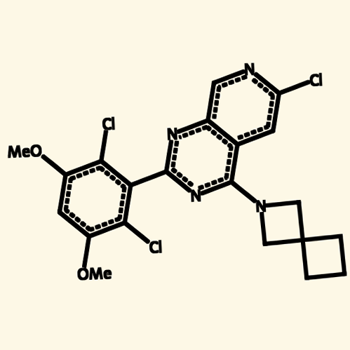 COc1cc(OC)c(Cl)c(-c2nc(N3CC4(CCC4)C3)c3cc(Cl)ncc3n2)c1Cl